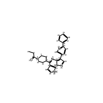 CCC(=O)N1CCC(c2nc3c(-c4ccc(-c5ccccc5)nc4)cnn3c3[nH]ccc23)CC1